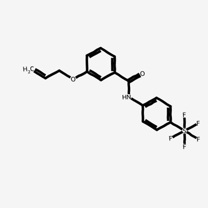 C=CCOc1cccc(C(=O)Nc2ccc(S(F)(F)(F)(F)F)cc2)c1